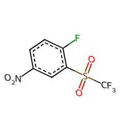 O=[N+]([O-])c1ccc(F)c(S(=O)(=O)C(F)(F)F)c1